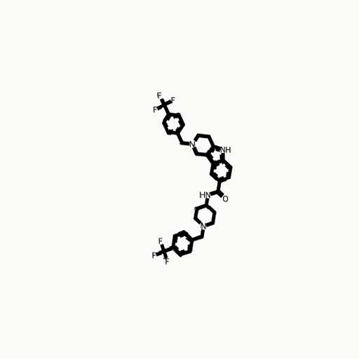 O=C(NC1CCN(Cc2ccc(C(F)(F)F)cc2)CC1)c1ccc2[nH]c3c(c2c1)CN(Cc1ccc(C(F)(F)F)cc1)CC3